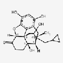 C[N@+]1(CC2CC2)C(O)C[C@]23c4c5c(O)cc(O)c4O[C@H]2C(=O)CC[C@@]3(O)[C@H]1C5